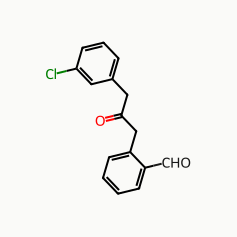 O=Cc1ccccc1CC(=O)Cc1cccc(Cl)c1